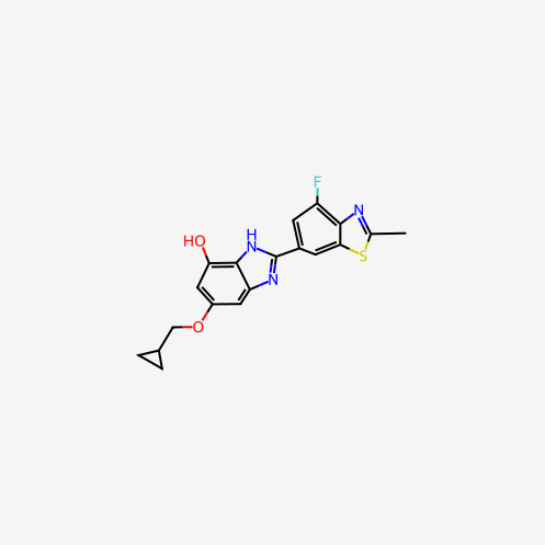 Cc1nc2c(F)cc(-c3nc4cc(OCC5CC5)cc(O)c4[nH]3)cc2s1